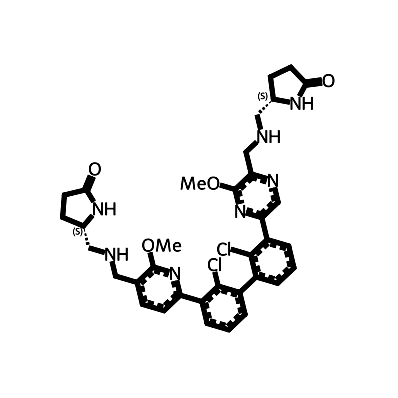 COc1nc(-c2cccc(-c3cccc(-c4cnc(CNC[C@@H]5CCC(=O)N5)c(OC)n4)c3Cl)c2Cl)ccc1CNC[C@@H]1CCC(=O)N1